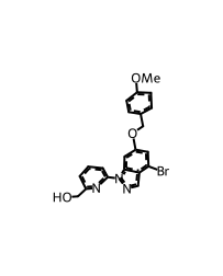 COc1ccc(COc2cc(Br)c3cnn(-c4cccc(CO)n4)c3c2)cc1